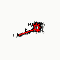 CC(C)(C)SC[C@@H]1NC(=O)[C@H](CCCCN)NC(=O)CSC[C@@H](C(=O)NCCOCCOCCOCCNC(=O)COCC(=O)NCCOCCOCCOCCNC(=O)COCC(N)=O)NC(=O)[C@H](Cc2ccccc2)NC(=O)[C@H](CSC(C)(C)C)NC(=O)[C@H](CC(=O)O)NC(=O)CNC(=O)[C@H](CCCNC(=N)N)NC1=O